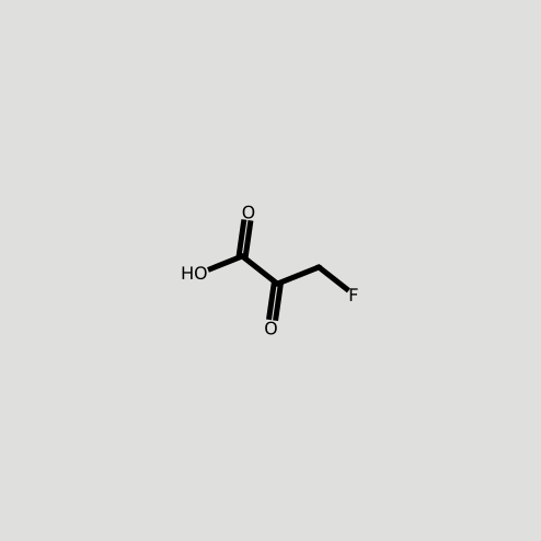 O=C(O)C(=O)CF